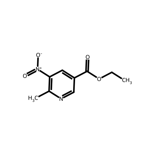 CCOC(=O)c1cnc(C)c([N+](=O)[O-])c1